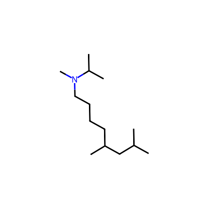 CC(C)CC(C)CCCCN(C)C(C)C